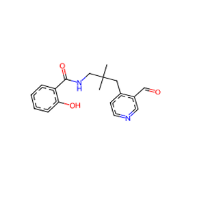 CC(C)(CNC(=O)c1ccccc1O)Cc1ccncc1C=O